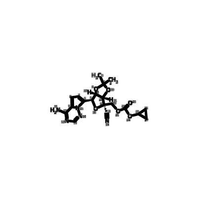 CC1(C)O[C@H]2[C@H](c3ccc4c(N)ncnn34)O[C@](C#N)(COC(=O)OC3CC3)[C@H]2O1